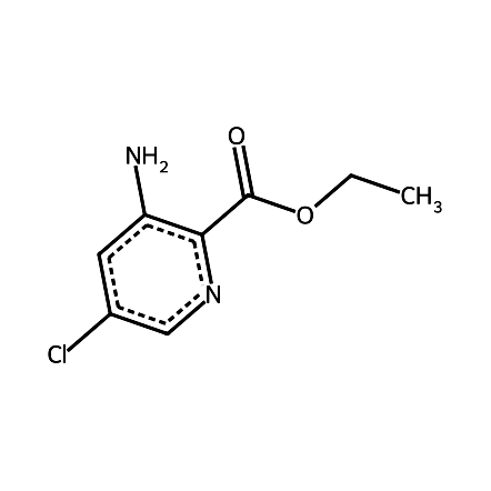 CCOC(=O)c1ncc(Cl)cc1N